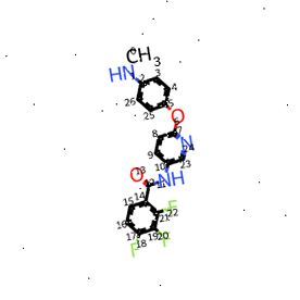 CNc1ccc(Oc2ccc(NC(=O)c3ccc(F)c(F)c3F)cn2)cc1